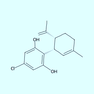 C=C(C)[C@@H]1CCC(C)=C[C@@H]1c1c(O)cc(Cl)cc1O